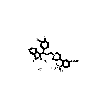 COc1ccc(S(C)(=O)=O)c(C2CCN(CCC(c3ccc(Cl)c(Cl)c3)C3c4ccccc4C(=O)N3C)CC2)c1.Cl